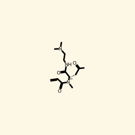 C=CC(=O)N(C)[C@@H](CC(C)=O)C(=O)NCCN(C)C